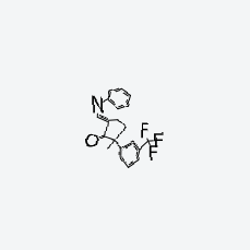 CN(C=C1CCC(C)(c2cccc(C(F)(F)F)c2)C1=O)c1ccccc1